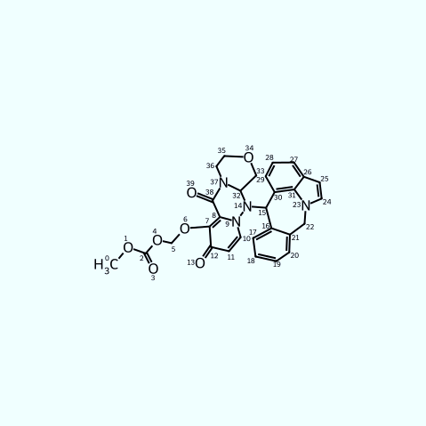 COC(=O)OCOc1c2n(ccc1=O)N(C1c3ccccc3Cn3ccc4cccc1c43)C1COCCN1C2=O